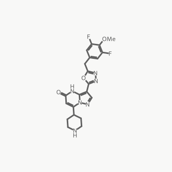 COc1c(F)cc(Cc2nnc(-c3cnn4c(C5CCNCC5)cc(=O)[nH]c34)o2)cc1F